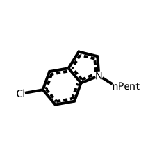 CCCCCn1ccc2cc(Cl)ccc21